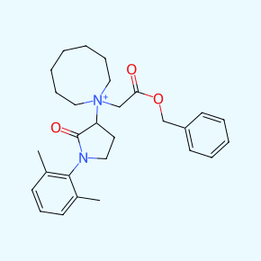 Cc1cccc(C)c1N1CCC([N+]2(CC(=O)OCc3ccccc3)CCCCCCC2)C1=O